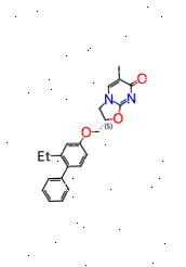 CCc1cc(OC[C@@H]2Cn3cc(C)c(=O)nc3O2)ccc1-c1ccccc1